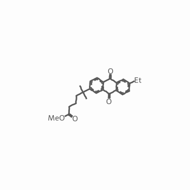 CCc1ccc2c(c1)C(=O)c1ccc(C(C)(C)CCCC(=O)OC)cc1C2=O